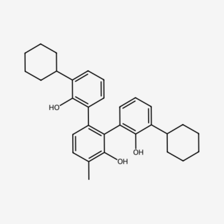 Cc1ccc(-c2cccc(C3CCCCC3)c2O)c(-c2cccc(C3CCCCC3)c2O)c1O